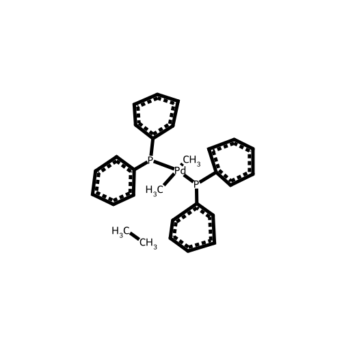 CC.[CH3][Pd]([CH3])([P](c1ccccc1)c1ccccc1)[P](c1ccccc1)c1ccccc1